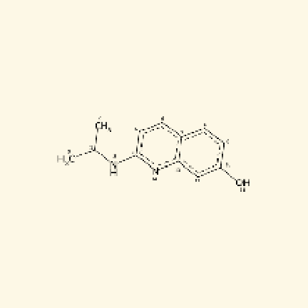 CC(C)Nc1ccc2ccc(O)cc2n1